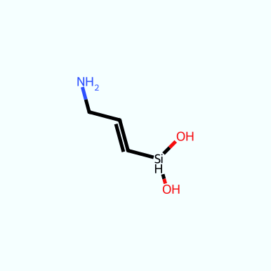 NCC=C[SiH](O)O